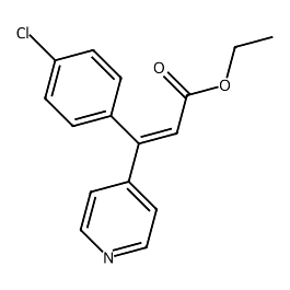 CCOC(=O)C=C(c1ccncc1)c1ccc(Cl)cc1